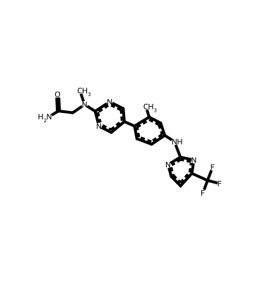 Cc1cc(Nc2nccc(C(F)(F)F)n2)ccc1-c1cnc(N(C)CC(N)=O)nc1